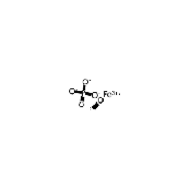 O=P([O-])([O-])[O-].[C]=O.[Fe+3]